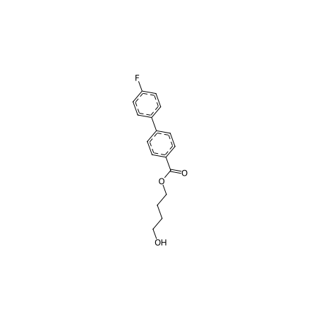 O=C(OCCCCO)c1ccc(-c2ccc(F)cc2)cc1